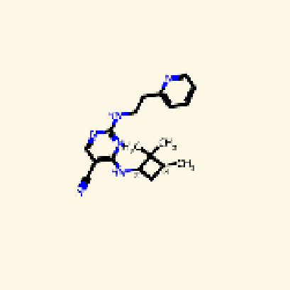 C[C@H]1C[C@@H](Nc2nc(NCCc3ccccn3)ncc2C#N)C1(C)C